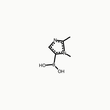 Cc1ncc(B(O)O)n1C